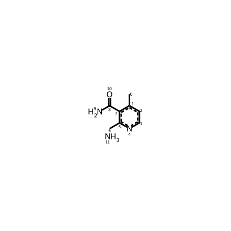 Cc1ccnc(C)c1C(N)=O.N